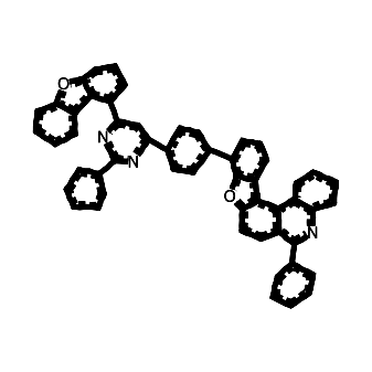 c1ccc(-c2nc(-c3ccc(-c4cccc5c4oc4ccc6c(-c7ccccc7)nc7ccccc7c6c45)cc3)cc(-c3cccc4oc5ccccc5c34)n2)cc1